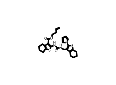 C=CCCOC(=O)c1c(NC(=O)NCc2c(-n3cccc3)sc3c2CCCC3)sc2c1CCCC2